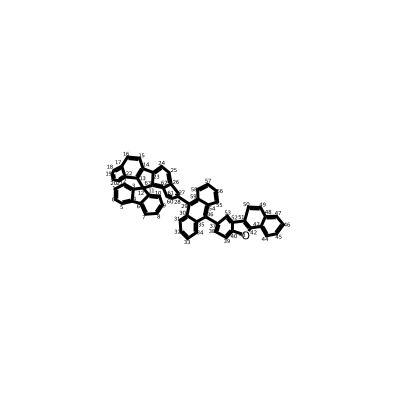 c1ccc2c(c1)-c1ccccc1C21c2c(ccc3ccccc23)-c2ccc3cc(-c4c5ccccc5c(-c5ccc6oc7c8ccccc8ccc7c6c5)c5ccccc45)ccc3c21